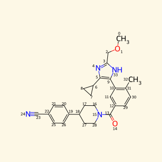 COCc1nc(C2CC2)c(-c2cc(C(=O)N3CCC(c4ccc(C#N)cc4)CC3)ccc2C)[nH]1